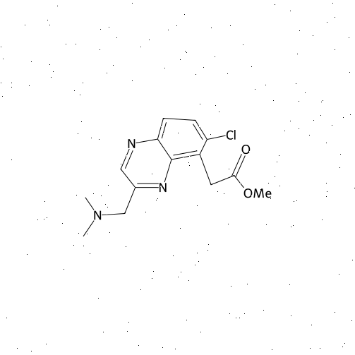 COC(=O)Cc1c(Cl)ccc2ncc(CN(C)C)nc12